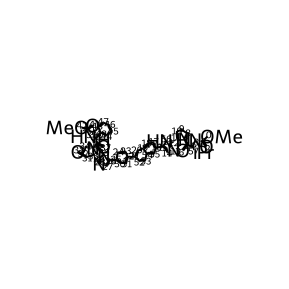 COC(=O)N[C@H](C(=O)N1CCC[C@H]1c1ncc(-c2ccc3cc(-c4ccc(-c5cnc([C@@H]6CC(=O)CN6C(=O)[C@H](NC(=O)OC)c6ccccc6)[nH]5)cc4)ccc3c2)[nH]1)C(C)C